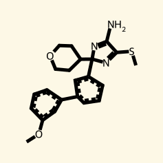 COc1cccc(-c2cccc(C3(C4CCOCC4)N=C(N)C(SC)=N3)c2)c1